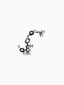 CCN(CC)CCOc1ccc(CN2CC=C(c3cc4c(-c5cc(F)ccc5OC)ccnc4[nH]3)CC2)cc1